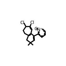 CC1(C)C=C(c2cccc[n+]2[O-])C2=C(CCC(Cl)C(Cl)=C2)C1